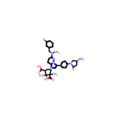 CC1(C(=O)O)CCC(C(=O)O)C1(C)C.CN(Cc1cccc(F)c1)c1ccc2ncc(-c3ccc(N4C[C@@H](N)CC4=O)cc3)n2n1